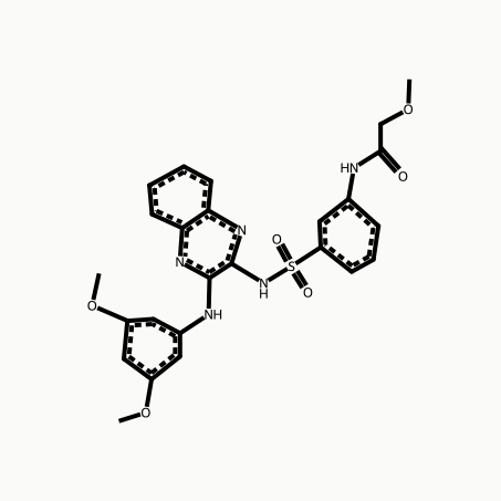 COCC(=O)Nc1cccc(S(=O)(=O)Nc2nc3ccccc3nc2Nc2cc(OC)cc(OC)c2)c1